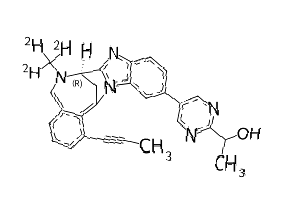 [2H]C([2H])([2H])N1C=c2cccc(C#CC)c2=C2C[C@@H]1c1nc3ccc(-c4cnc(C(C)O)nc4)cc3n12